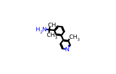 Cc1cnccc1-c1cccc(C(C)(C)N)c1